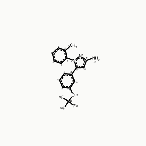 Cc1ccccc1-n1nc(N)cc1-c1cccc(OC(F)(F)F)c1